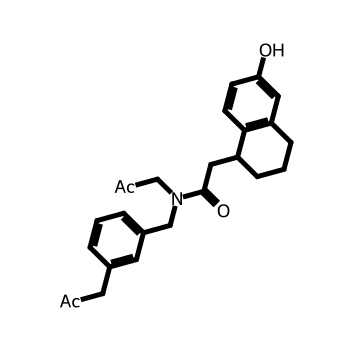 CC(=O)Cc1cccc(CN(CC(C)=O)C(=O)CC2CCCc3cc(O)ccc32)c1